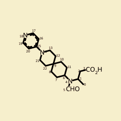 CC(CC(=O)O)N(C=O)C1CCC2(CC1)CCN(c1ccncc1)CC2